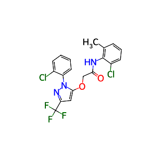 Cc1cccc(Cl)c1NC(=O)COc1cc(C(F)(F)F)nn1-c1ccccc1Cl